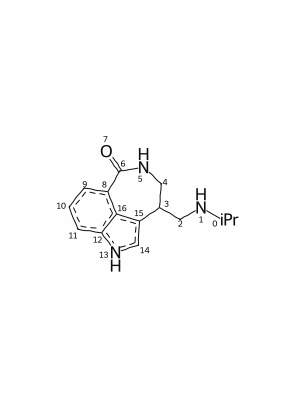 CC(C)NCC1CNC(=O)c2cccc3[nH]cc1c23